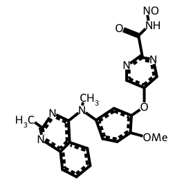 COc1ccc(N(C)c2nc(C)nc3ccccc23)cc1Oc1cnc(C(=O)NN=O)nc1